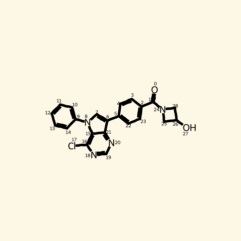 O=C(c1ccc(-c2cn(-c3ccccc3)c3c(Cl)ncnc23)cc1)N1CC(O)C1